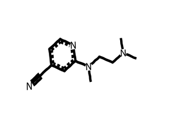 CN(C)CCN(C)c1cc(C#N)ccn1